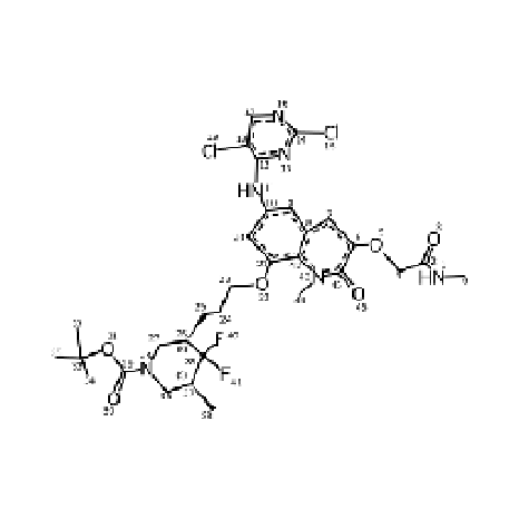 CNC(=O)COc1cc2cc(Nc3nc(Cl)ncc3Cl)cc(OCCC[C@@H]3CN(C(=O)OC(C)(C)C)C[C@H](C)C3(F)F)c2n(C)c1=O